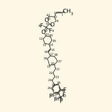 C/C=C/C1COC(C(F)(F)OC2CCC(/C=C/C3CCC(CCCCc4cc(F)c(C(F)(F)F)c(F)c4)CC3)CC2)OC1